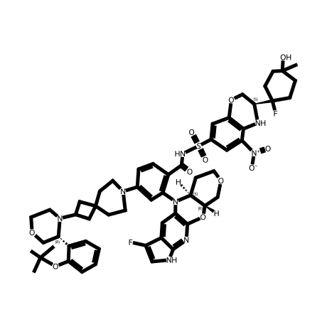 CC1(O)CCC(F)([C@@H]2COc3cc(S(=O)(=O)NC(=O)c4ccc(N5CCC6(CC5)CC(N5CCOC[C@H]5c5ccccc5OC(C)(C)C)C6)cc4N4c5cc6c(F)c[nH]c6nc5O[C@H]5COCC[C@@H]54)cc([N+](=O)[O-])c3N2)CC1